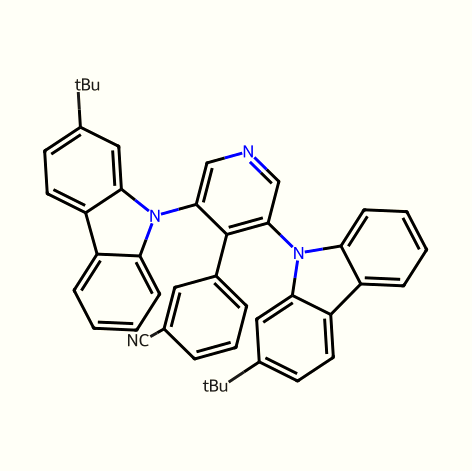 CC(C)(C)c1ccc2c3ccccc3n(-c3cncc(-n4c5ccccc5c5ccc(C(C)(C)C)cc54)c3-c3cccc(C#N)c3)c2c1